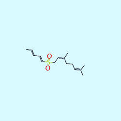 CC=CC=CS(=O)(=O)CC=C(C)CCC=C(C)C